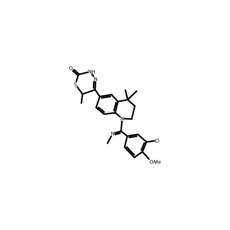 CN=C(c1ccc(OC)c(Cl)c1)N1CCC(C)(C)c2cc(C3=NNC(=O)SC3C)ccc21